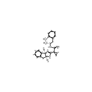 Cc1ccccc1C[C@@H](C)OC(=N)C1(C2=N[C@@H]3c4ccccc4C[C@@H]3O2)CC1